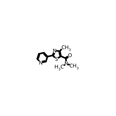 Cc1nc(-c2cccnc2)sc1C(=O)N(C)C